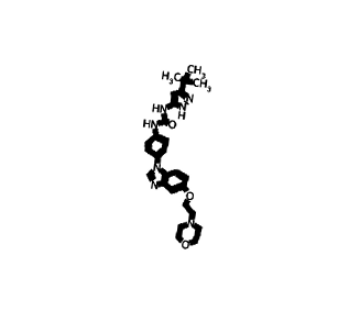 CC(C)(C)c1cc(NC(=O)Nc2ccc(-n3cnc4cc(OCCN5CCOCC5)ccc43)cc2)[nH]n1